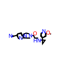 COc1cc(C2(NCCC(=O)N3CC4C[C@H](C)C(C3)N4c3ccc(C#N)cn3)CC2)ccn1